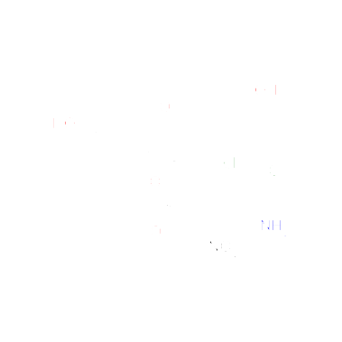 Nc1c(Cl)c(Cl)c2c(c1[N+](=O)[O-])C(=O)OC21c2ccc(O)cc2Oc2cc(O)ccc21